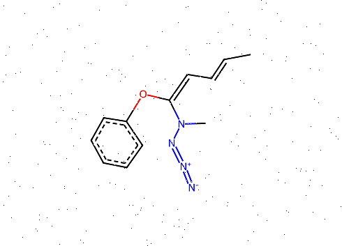 C/C=C/C=C(/Oc1ccccc1)N(C)N=[N+]=[N-]